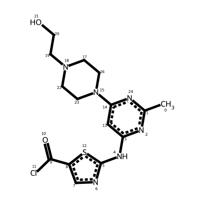 Cc1nc(Nc2ncc(C(=O)Cl)s2)cc(N2CCN(CCO)CC2)n1